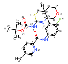 Cc1ccc(C(=O)Nc2ccc(F)c([C@]34COCC[C@H]3CSC(NC(=O)OC(C)(C)C)=N4)c2)nc1